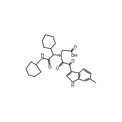 Cc1ccc2c(C(=O)C(=O)N(CC(=O)O)C(C(=O)NC3CCCCC3)C3CCCCC3)c[nH]c2c1